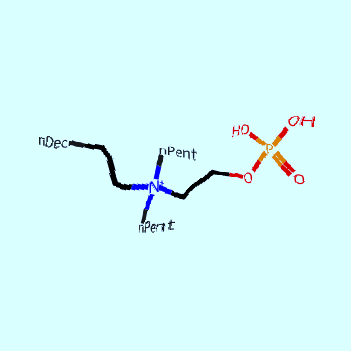 CCCCCCCCCCCC[N+](CCCCC)(CCCCC)CCOP(=O)(O)O